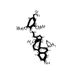 CCN(CC)Cc1cc(OC)c(OCCC2CCC3C4C(CCC23C)c2ccc(O)cc2C[C@H]4C)c(OC)c1